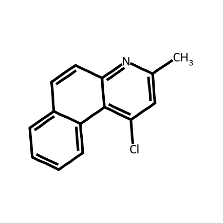 Cc1cc(Cl)c2c(ccc3ccccc32)n1